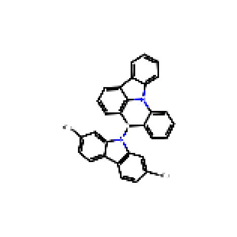 CC(C)(C)c1ccc2c3ccc(C(C)(C)C)cc3n(B3c4ccccc4-n4c5ccccc5c5cccc3c54)c2c1